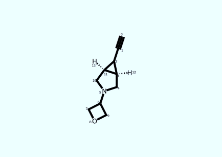 C#CC1[C@H]2CN(C3COC3)C[C@@H]12